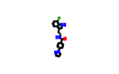 O=C(NCCc1c[nH]c2c(F)cccc12)c1ccc(-n2cccn2)cc1